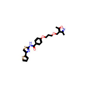 Cc1noc(C)c1COCCCOc1ccc(C(=O)Nc2nc(-c3cccs3)cs2)cc1